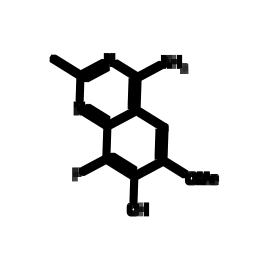 COc1cc2c(N)nc(C)nc2c(F)c1O